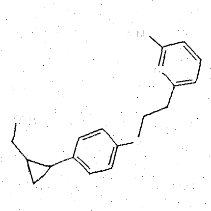 CC(=O)Nc1cccc(CCOc2ccc(C3CC3CC(=O)O)cc2)n1